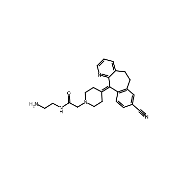 N#Cc1ccc2c(c1)CCc1cccnc1C2=C1CCN(CC(=O)NCCN)CC1